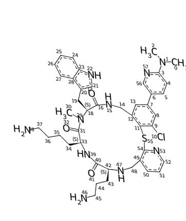 CN(C)c1ccc(-c2cc(Cl)c3c(c2)CNC(=O)[C@H](Cc2c[nH]c4ccccc24)N(C)C(=O)[C@H](CCCCN)NC(=O)[C@H](CCCN)NCc2cccnc2S3)cn1